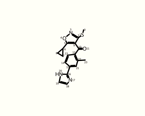 CSc1noc(C2CC2)c1C(=O)c1ccc(-c2ncc[nH]2)cc1C